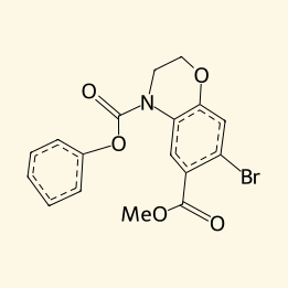 COC(=O)c1cc2c(cc1Br)OCCN2C(=O)Oc1ccccc1